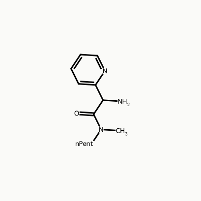 CCCCCN(C)C(=O)C(N)c1ccccn1